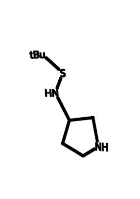 CC(C)(C)SNC1CCNC1